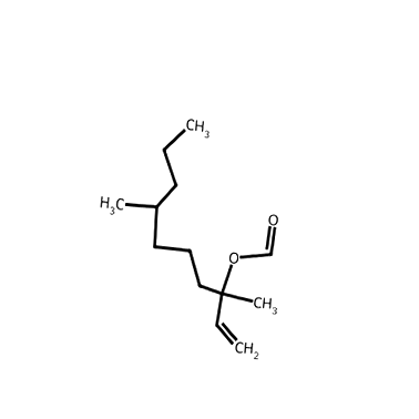 C=CC(C)(CCCC(C)CCC)OC=O